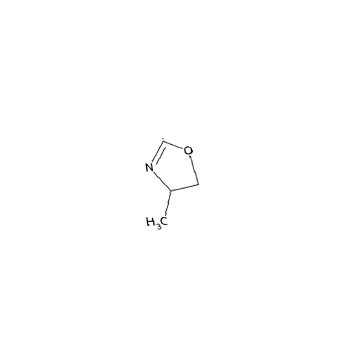 CC1CO[C]=N1